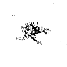 CC(C)[C@H](NC(=O)[C@H](CCC(=O)O)NC(=O)[C@H](CCCCN)NC(=O)[C@@H](N)CCCNC(=N)N)C(=O)N[C@@H](Cc1c[nH]c2ccccc12)C(=O)O